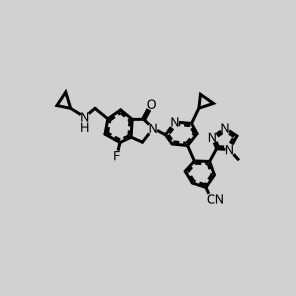 Cn1cnnc1-c1cc(C#N)ccc1-c1cc(C2CC2)nc(N2Cc3c(F)cc(CNC4CC4)cc3C2=O)c1